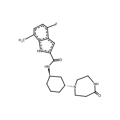 Cc1ccc(F)c2cc(C(=O)N[C@@H]3CCC[C@@H](N4CCNC(=O)CC4)C3)[nH]c12